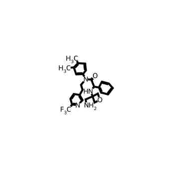 Cc1ccc(N(CCc2ccc(C(F)(F)F)nc2)C(=O)C(NC2(CN)COC2)c2ccccc2)cc1C